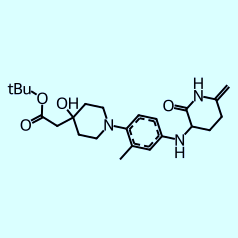 C=C1CCC(Nc2ccc(N3CCC(O)(CC(=O)OC(C)(C)C)CC3)c(C)c2)C(=O)N1